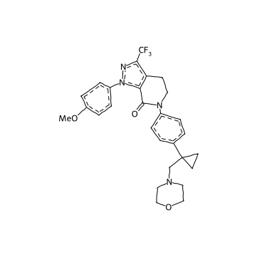 COc1ccc(-n2nc(C(F)(F)F)c3c2C(=O)N(c2ccc(C4(CN5CCOCC5)CC4)cc2)CC3)cc1